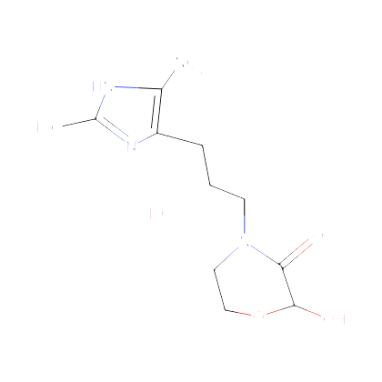 O=C1C(O)OCCN1C[C@H](O)Cc1nc(C(F)(F)F)[nH]c1[N+](=O)[O-]